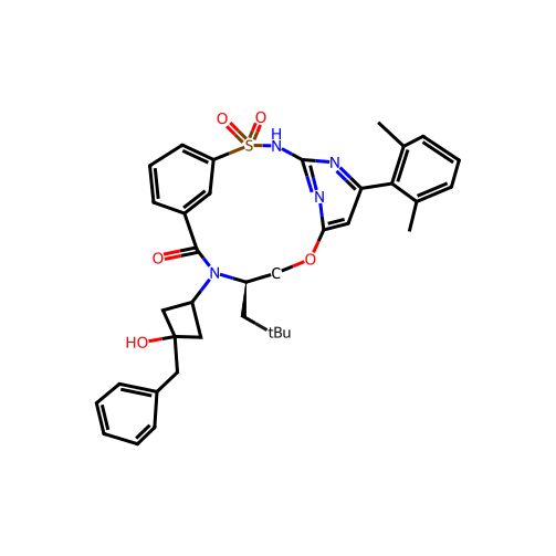 Cc1cccc(C)c1-c1cc2nc(n1)NS(=O)(=O)c1cccc(c1)C(=O)N(C1CC(O)(Cc3ccccc3)C1)[C@H](CC(C)(C)C)CO2